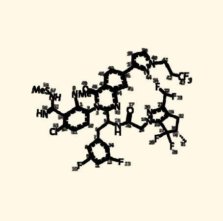 CNc1c(-n2c(C(Cc3cc(F)cc(F)c3)NC(=O)Cn3nc(C(F)F)c4c3C(F)(F)[C@@H](C)C4)nc3cc(-c4ccn(CCC(F)(F)F)n4)ccc3c2=O)ccc(Cl)c1C(=N)NSC